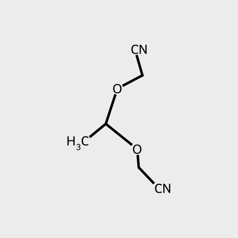 CC(OCC#N)OCC#N